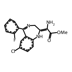 COC(=O)/C(N)=C1/CN=C(c2ccccc2F)c2cc(Cl)ccc2N1